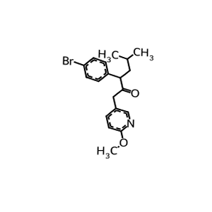 COc1ccc(CC(=O)C(CC(C)C)c2ccc(Br)cc2)cn1